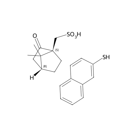 CC1(C)[C@@H]2CC[C@@]1(CS(=O)(=O)O)C(=O)C2.Sc1ccc2ccccc2c1